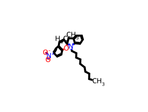 CCCCCCCCCCN1c2ccccc2C(C)(C)C12C=Cc1cc([N+](=O)[O-])ccc1O2